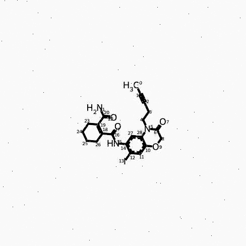 CC#CCCN1C(=O)COc2cc(I)c(NC(=O)C3=C(C(N)=O)CCCC3)cc21